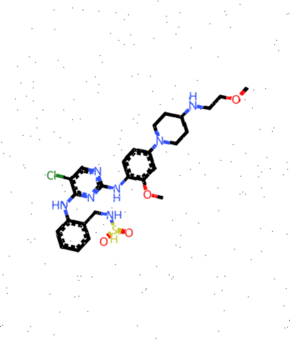 COCCNC1CCN(c2ccc(Nc3ncc(Cl)c(Nc4ccccc4CN[SH](=O)=O)n3)c(OC)c2)CC1